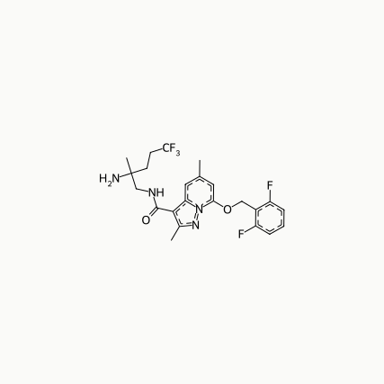 Cc1cc(OCc2c(F)cccc2F)n2nc(C)c(C(=O)NCC(C)(N)CCC(F)(F)F)c2c1